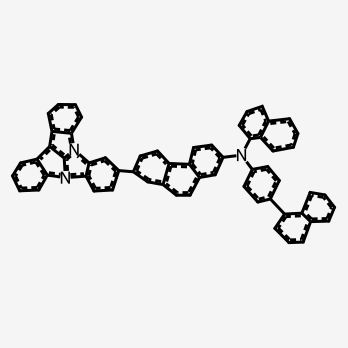 c1ccc2c(-c3ccc(N(c4ccc5c(ccc6cc(-c7ccc8c(c7)n7c9ccccc9c9c%10ccccc%10n8c97)ccc65)c4)c4cccc5ccccc45)cc3)cccc2c1